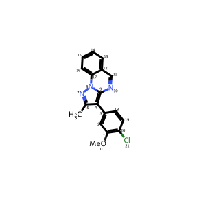 COc1cc(-c2c(C)nn3c2ncc2ccccc23)ccc1Cl